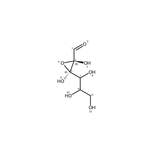 O=C[C@@]1(O)O[C@]1(O)C(O)C(O)CO